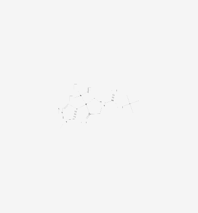 Cn1cc(C2(C(F)(F)F)CN(C(=O)OC(C)(C)C)CC2=O)cn1